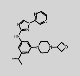 CC(C)c1cc(Nc2ncn(-c3cnccn3)n2)cc(N2CCN(C3COC3)CC2)c1